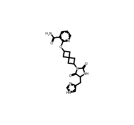 NC(=O)c1cccnc1OC1CC2(C1)CC(N1C(=O)NC(Cc3c[nH]cn3)C1=O)C2